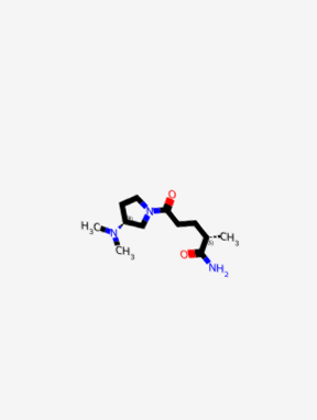 C[C@@H](C[CH]C(=O)N1CC[C@@H](N(C)C)C1)C(N)=O